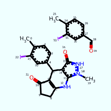 Cc1ccc(C2C3=C(CCC3=O)Nc3c2c(=O)[nH]n3C)cc1I.Cc1ccc(C=O)cc1I